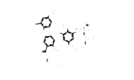 CCOC(=O)COC(=O)c1cc(Oc2ccc(C(F)(F)F)cc2Cl)ccc1[N+](=O)[O-].N#Cc1cc(Br)c(O)c(Br)c1.O=C(O)CNCP(=O)(O)O